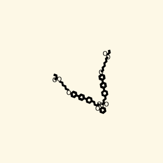 C=CC(=O)OCCCCCCOc1ccc(-c2ccc(C3CCC(CCC(=O)Oc4ccccc4OC(=O)CCC4CCC(c5ccc(-c6ccc(OCCCCCCOC(=O)C=C)cc6)cc5)CC4)CC3)cc2)cc1